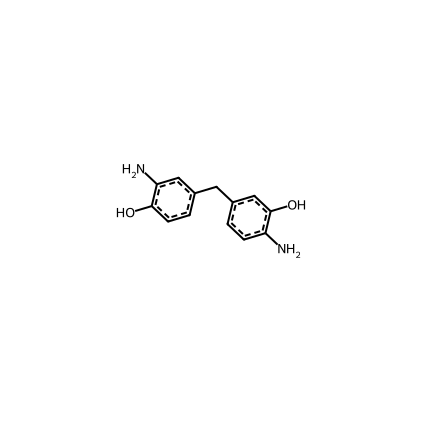 Nc1cc(Cc2ccc(N)c(O)c2)ccc1O